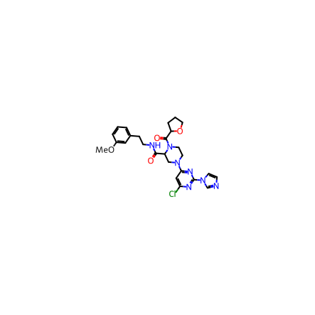 COc1cccc(CCNC(=O)C2CN(c3cc(Cl)nc(-n4ccnc4)n3)CCN2C(=O)C2CCCO2)c1